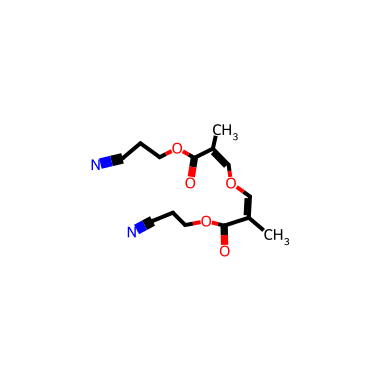 CC(=COC=C(C)C(=O)OCCC#N)C(=O)OCCC#N